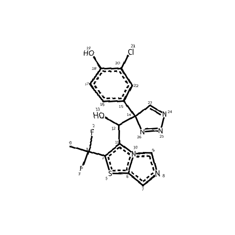 CC(F)(F)c1sc2cncn2c1C(O)C1(c2ccc(O)c(Cl)c2)C=NN=N1